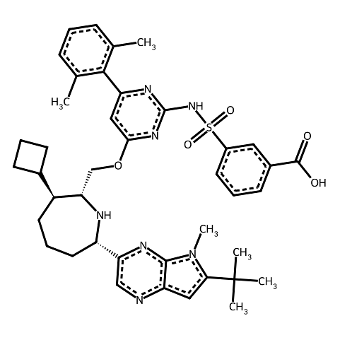 Cc1cccc(C)c1-c1cc(OC[C@@H]2N[C@H](c3cnc4cc(C(C)(C)C)n(C)c4n3)CCC[C@H]2C2CCC2)nc(NS(=O)(=O)c2cccc(C(=O)O)c2)n1